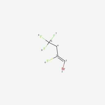 F/C(=C\Br)CC(F)(F)F